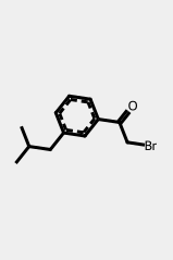 CC(C)Cc1cccc(C(=O)CBr)c1